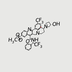 CS(=O)(=O)c1ccc2nc(-c3cccc(C(F)(F)F)c3)c(CN3CCC(N4CC[C@H](O)C4)CC3)c(C(=O)N[C@H](c3ccccc3)C(F)(F)F)c2c1